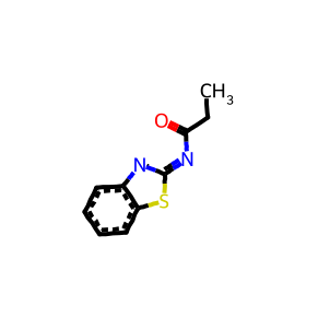 CCC(=O)/N=C1\[N]c2ccccc2S1